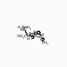 Cn1ccc(NC(=O)c2cccc(S(=O)(=O)Nc3ccsc3C(=O)N[C@@H](CCCNC(N)N)C(=O)O)c2)n1